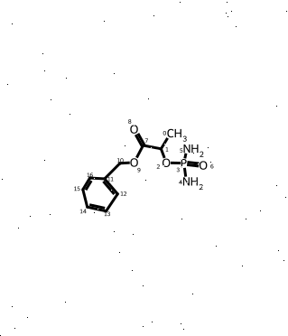 CC(OP(N)(N)=O)C(=O)OCc1ccccc1